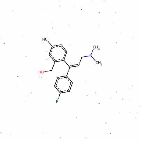 CN(C)CC=C(c1ccc(F)cc1)c1ccc(C#N)cc1CO